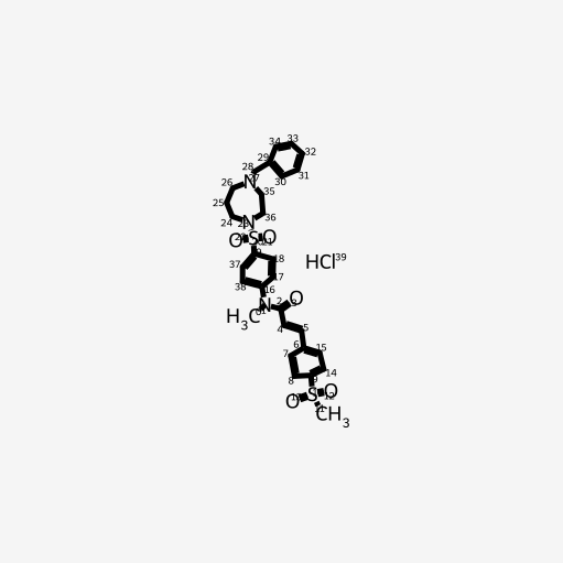 CN(C(=O)C=Cc1ccc(S(C)(=O)=O)cc1)c1ccc(S(=O)(=O)N2CCCN(Cc3ccccc3)CC2)cc1.Cl